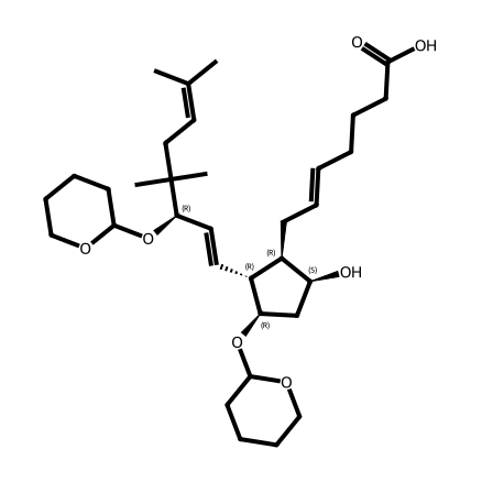 CC(C)=CCC(C)(C)[C@@H](C=C[C@@H]1[C@@H](CC=CCCCC(=O)O)[C@@H](O)C[C@H]1OC1CCCCO1)OC1CCCCO1